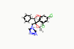 COC(Cn1cnnc1)(c1ccc(Cl)cc1Cl)C(O)c1ccccc1